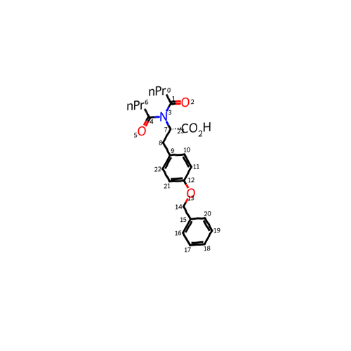 CCCC(=O)N(C(=O)CCC)[C@@H](Cc1ccc(OCc2ccccc2)cc1)C(=O)O